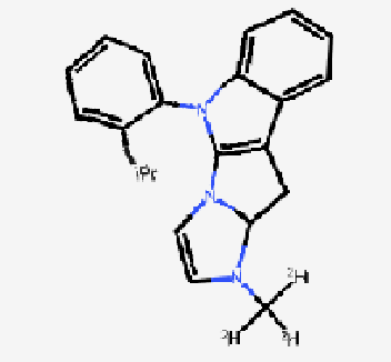 [2H]C([2H])([2H])N1C=CN2c3c(c4ccccc4n3-c3ccccc3C(C)C)CC21